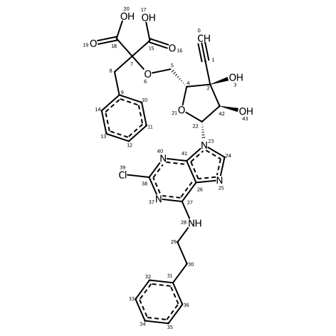 C#C[C@@]1(O)[C@@H](COC(Cc2ccccc2)(C(=O)O)C(=O)O)O[C@@H](n2cnc3c(NCCc4ccccc4)nc(Cl)nc32)[C@@H]1O